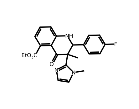 CCOC(=O)c1cccc2c1C(=O)C(C)(c1nccn1C)C(c1ccc(F)cc1)N2